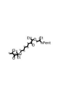 CCCCCC(CC)COC(CC)C(=O)CCCCCOC(C)(CC)C(=O)C(C)Cl